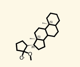 COC1([O])CCCC1[C@H]1CCC2C3CCC4CCCC[C@]4(C)C3CC[C@@]21C